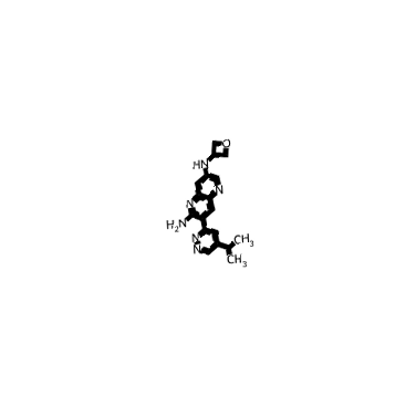 CC(C)c1cnnc(-c2cc3ncc(NC4COC4)cc3nc2N)c1